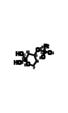 CCS(=O)(=O)OC1CCOS(O)(O)C1